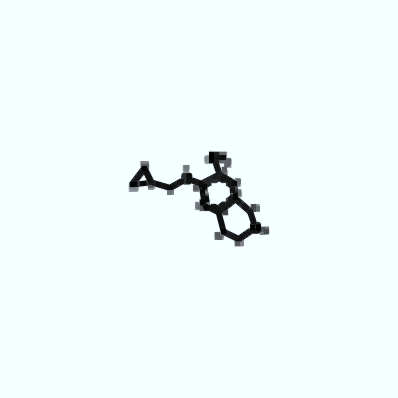 Nc1cc2c(nc1OCC1CC1)CCOC2